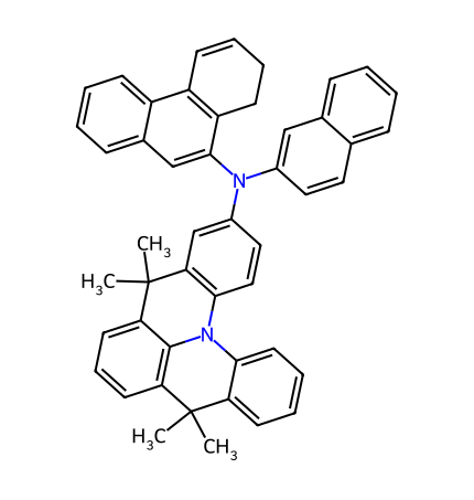 CC1(C)c2ccccc2N2c3ccc(N(c4ccc5ccccc5c4)c4cc5ccccc5c5c4CCC=C5)cc3C(C)(C)c3cccc1c32